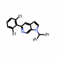 CCCC(C(C)C)n1ccc2cc(-c3c(CC)cccc3CC)ncc21